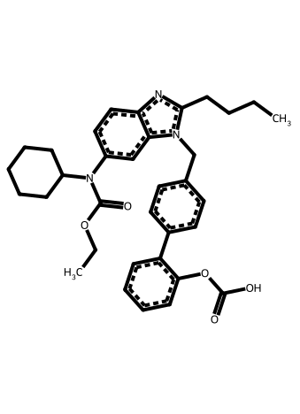 CCCCc1nc2ccc(N(C(=O)OCC)C3CCCCC3)cc2n1Cc1ccc(-c2ccccc2OC(=O)O)cc1